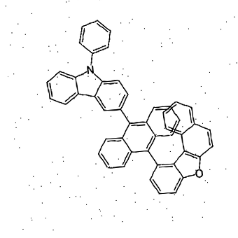 c1ccc(-n2c3ccccc3c3cc(-c4c5ccccc5c(-c5cccc6oc7ccc8ccccc8c7c56)c5ccccc45)ccc32)cc1